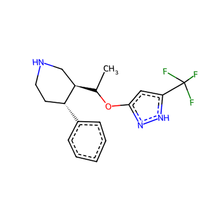 CC(Oc1cc(C(F)(F)F)[nH]n1)[C@@H]1CNCC[C@H]1c1ccccc1